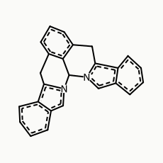 c1cc2c3c(c1)Cc1c4ccccc4cn1C3n1cc3ccccc3c1C2